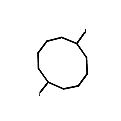 IC1CCCCC(I)CCCC1